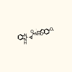 COc1ccc2oc([C@@H](C)NC(=O)[C@H]3C[C@@H]3c3nc4ccccc4[nH]3)cc2c1